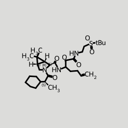 C=CCCC(NC(=O)[C@@H]1[C@@H]2[C@H](CN1C(=O)[C@@H](C)C1CCCCC1)C2(C)C)C(=O)C(=O)NCCS(=O)(=O)C(C)(C)C